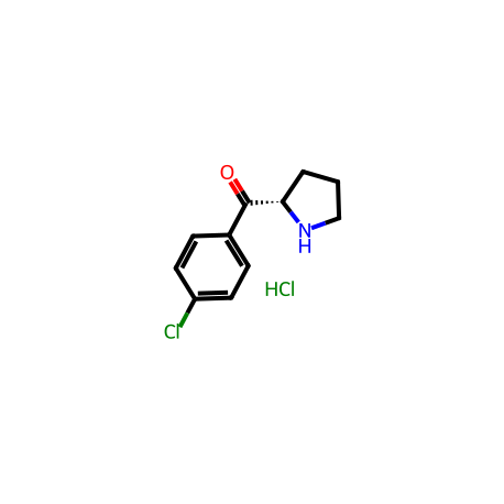 Cl.O=C(c1ccc(Cl)cc1)[C@@H]1CCCN1